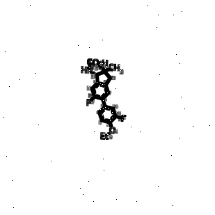 CCOc1ccc(-c2cc3c(cc2F)[C@H](NC(=O)O)C(C)(C)C3)cc1F